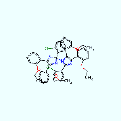 CCOc1ccccc1C1=NC(c2ccccc2Cl)(n2c(-c3ccccc3Cl)nc(-c3ccccc3OCC)c2-c2ccccc2OCC)N=C1c1ccccc1OCC